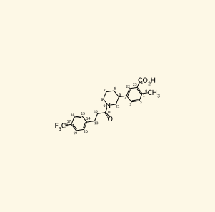 Cc1ccc(C2CCCN(C(=O)CCc3ccc(C(F)(F)F)cc3)C2)cc1C(=O)O